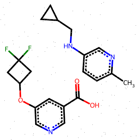 Cc1ccc(NCC2CC2)cn1.O=C(O)c1cncc(OC2CC(F)(F)C2)c1